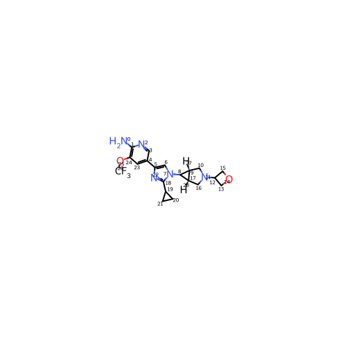 Nc1ncc(-c2cn([C@H]3[C@@H]4CN(C5COC5)C[C@@H]43)c(C3CC3)n2)cc1OC(F)(F)F